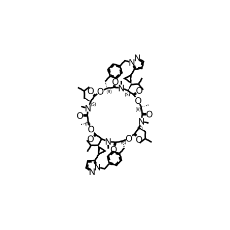 CC(C)CC1C(=O)O[C@H](C)C(=O)N(C)[C@@H](CC(C)C)C(=O)O[C@H](Cc2ccc(Cn3nccc3C3CC3)cc2)C(=O)N(C)[C@@H](CC(C)C)C(=O)O[C@H](C)C(=O)N(C)[C@@H](CC(C)C)C(=O)O[C@H](Cc2ccc(Cn3nccc3C3CC3)cc2)C(=O)N1C